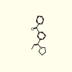 CC=C(c1cccc(C(=O)c2ccccc2)c1)N1CCCC1